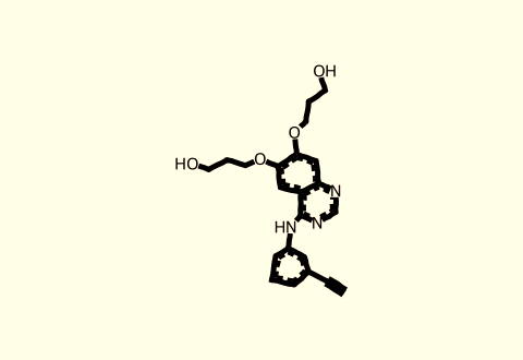 C#Cc1cccc(Nc2ncnc3cc(OCCCO)c(OCCCO)cc23)c1